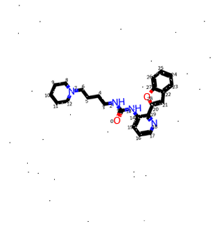 O=C(NCCCCN1CCCCC1)Nc1cccnc1-c1cc2ccccc2o1